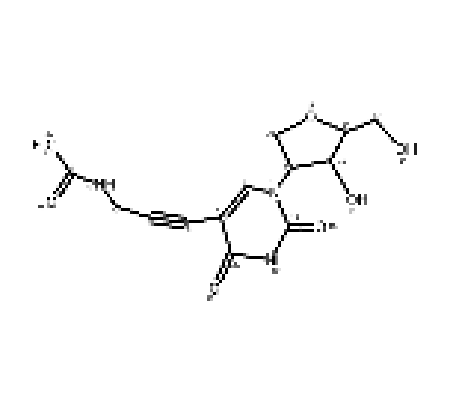 O=C(NCC#Cc1cn(C2COC(CO)C2O)c(=O)[nH]c1=O)C(F)(F)F